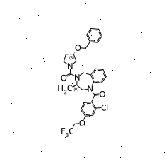 C[C@@H]1CN(C(=O)c2ccc(OCC(F)(F)F)cc2Cl)c2ccccc2CN1C(=O)N1CC[C@H](OCc2ccccc2)C1